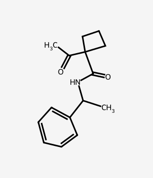 CC(=O)C1(C(=O)NC(C)c2ccccc2)CCC1